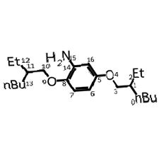 CCCCC(CC)COc1ccc(OCC(CC)CCCC)c(N)c1